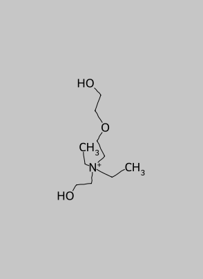 CC[N+](CC)(CCO)CCOCCO